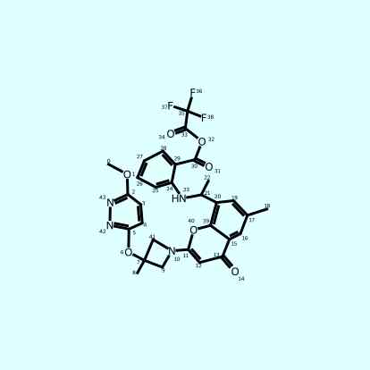 COc1ccc(OC2(C)CN(c3cc(=O)c4cc(C)cc(C(C)Nc5ccccc5C(=O)OC(=O)C(F)(F)F)c4o3)C2)nn1